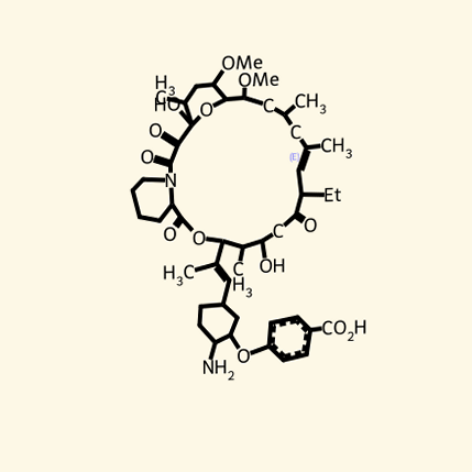 CCC1/C=C(\C)CC(C)CC(OC)C2OC(O)(C(=O)C(=O)N3CCCCC3C(=O)OC(C(C)=CC3CCC(N)C(Oc4ccc(C(=O)O)cc4)C3)C(C)C(O)CC1=O)C(C)CC2OC